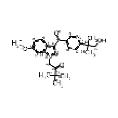 COc1ccc2c(C(=O)c3ccc(C(C)(C)CO)nc3)nn(CC(=O)C(C)(C)C)c2c1